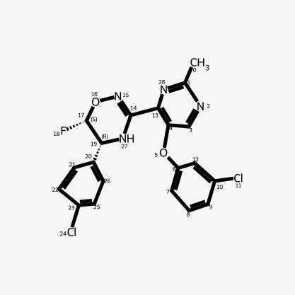 Cc1ncc(Oc2cccc(Cl)c2)c(C2=NO[C@@H](F)[C@@H](c3ccc(Cl)cc3)N2)n1